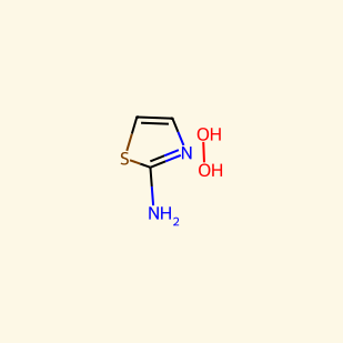 Nc1nccs1.OO